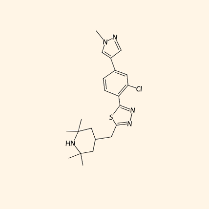 Cn1cc(-c2ccc(-c3nnc(CC4CC(C)(C)NC(C)(C)C4)s3)c(Cl)c2)cn1